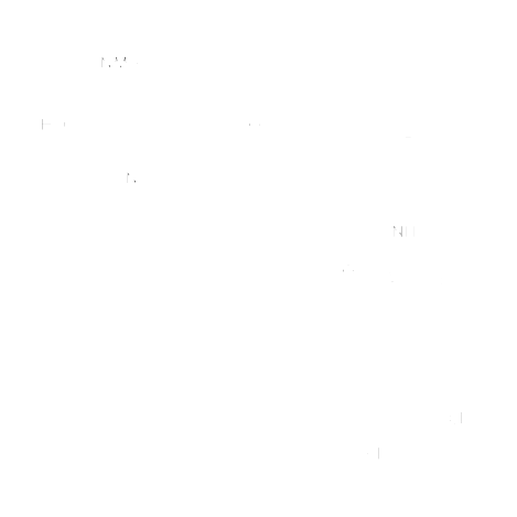 CNC(O)c1cc(Oc2ccc(NS(=O)(=O)c3ccc(Cl)c(C(F)(F)F)c3)c(F)c2)ccn1